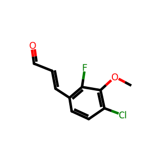 COc1c(Cl)ccc(/C=C/C=O)c1F